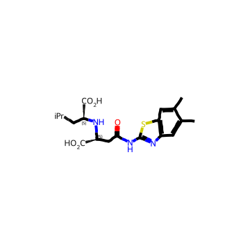 Cc1cc2nc(NC(=O)C[C@H](N[C@@H](CC(C)C)C(=O)O)C(=O)O)sc2cc1C